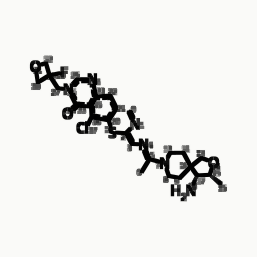 C=N/C(=C\N=C(/C)N1CCC2(CC1)CO[C@@H](C)[C@H]2N)Sc1ccc2ncn(CC3(F)COC3)c(=O)c2c1Cl